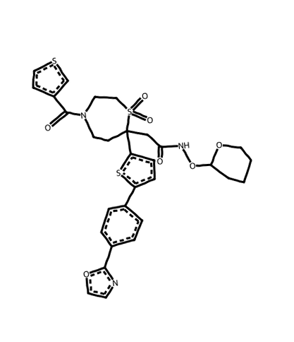 O=C(CC1(c2ccc(-c3ccc(-c4ncco4)cc3)s2)CCN(C(=O)c2ccsc2)CCS1(=O)=O)NOC1CCCCO1